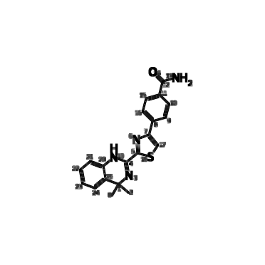 CC1(C)N=C(c2nc(-c3ccc(C(N)=O)cc3)cs2)Nc2ccccc21